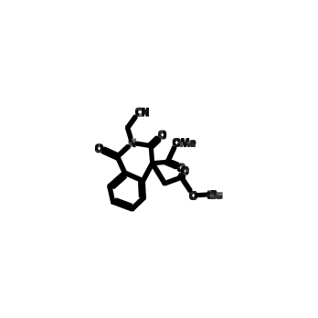 COC(=O)C1(CC(=O)OC(C)(C)C)C(=O)N(CC#N)C(=O)c2ccccc21